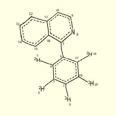 [2H]c1c([2H])c([2H])c(-c2nccc3ccccc23)c([2H])c1[2H]